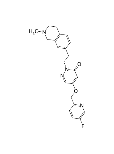 CN1CCc2ccc(CCn3ncc(OCc4ccc(F)cn4)cc3=O)cc2C1